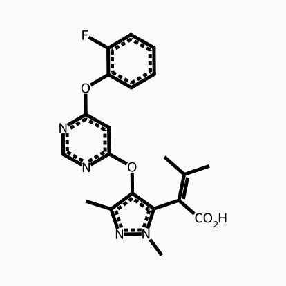 CC(C)=C(C(=O)O)c1c(Oc2cc(Oc3ccccc3F)ncn2)c(C)nn1C